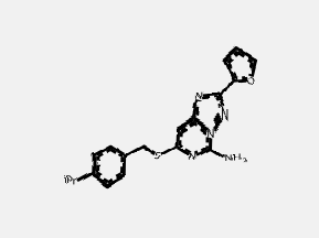 CC(C)c1ccc(CSc2cc3nc(-c4ccco4)nn3c(N)n2)cc1